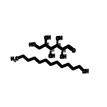 CCCCCCCCCCCCO.O=C[C@H](O)[C@@H](O)[C@H](O)[C@H](O)CO